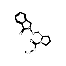 CC(C)(C)OC(=O)N1CCC[C@H]1CON1Cc2ccccc2C1=O